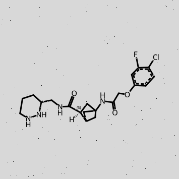 O=C(COc1ccc(Cl)c(F)c1)NC12CC(C1)[C@@H](C(=O)NCC1CCCNN1)C2